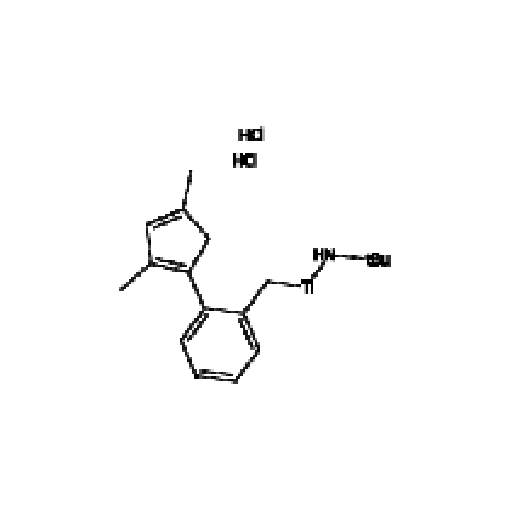 CC1=CC(C)=C(c2ccccc2[CH2][Ti][NH]C(C)(C)C)C1.Cl.Cl